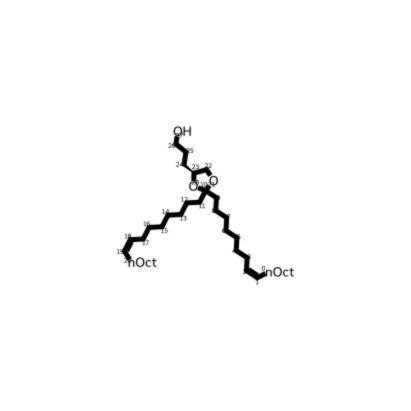 CCCCCCCC/C=C\CCCCCCCC1(CCCCCCC/C=C\CCCCCCCC)OC[C@H](CCCO)O1